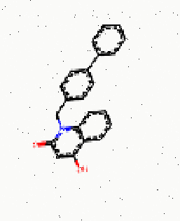 O=c1cc(O)c2ccccc2n1Cc1ccc(-c2ccccc2)cc1